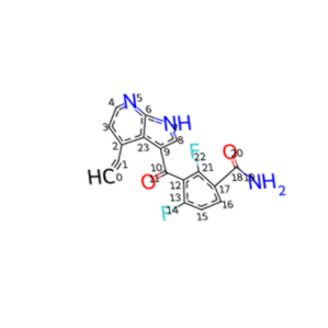 C#Cc1ccnc2[nH]cc(C(=O)c3c(F)ccc(C(N)=O)c3F)c12